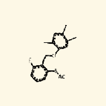 CC(=O)Sc1cccc(F)c1COc1cc(C)c(C)cc1C